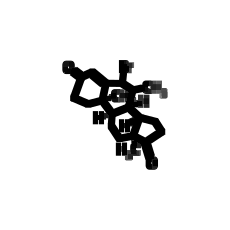 CC1C(Br)C2=CC(=O)CC[C@]2(C)[C@@H]2CC[C@]3(C)C(=O)CC[C@H]3[C@H]12